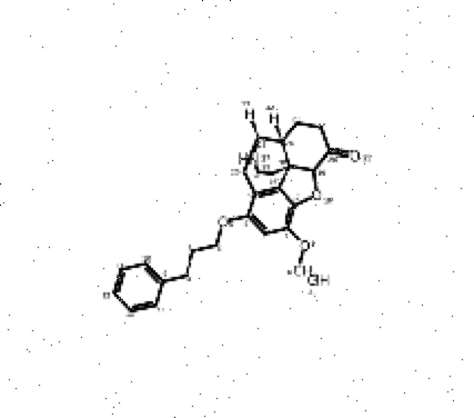 COc1cc(OCCCc2ccccc2)c2c3c1OC1C(=O)CC[C@H]4[C@@H](C2)NCC[C@]314.Cl